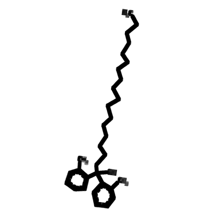 CCCCCCCCCCCCCCCCCC(O)(c1ccccc1C)c1ccccc1C